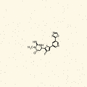 CN1C(=N)NC(c2sc(-c3cncc(-c4nnco4)c3)cc2F)C[S+]1[O-]